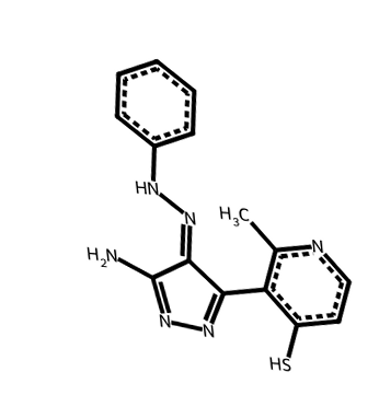 Cc1nccc(S)c1C1=NN=C(N)C1=NNc1ccccc1